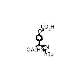 CCCCc1ncc(C(COC(C)=O)c2ccc(OCC(=O)O)cc2)[nH]1